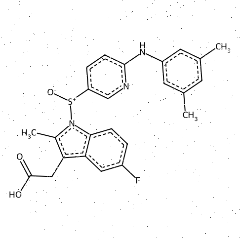 Cc1cc(C)cc(Nc2ccc([S+]([O-])n3c(C)c(CC(=O)O)c4cc(F)ccc43)cn2)c1